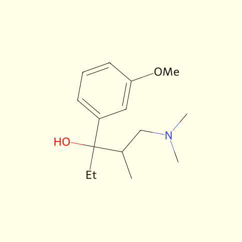 CCC(O)(c1cccc(OC)c1)C(C)CN(C)C